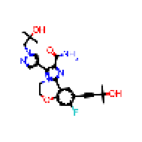 CC(C)(O)C#Cc1cc2c(cc1F)OCCn1c-2nc(C(N)=O)c1-c1cnn(CC(C)(C)O)c1